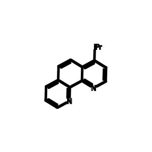 CC(C)c1ccnc2c1ccc1cccnc12